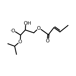 CC=CC(=O)OCC(O)C([O])OC(C)C